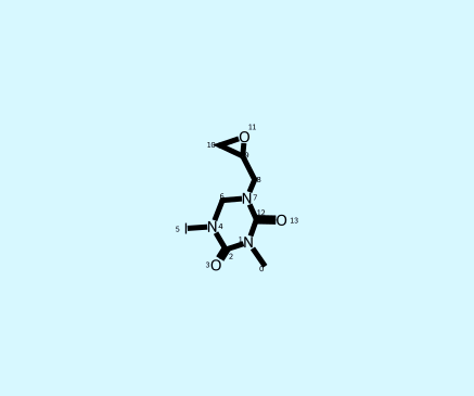 CN1C(=O)N(I)CN(CC2CO2)C1=O